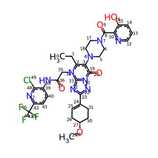 CCc1c(N2CCN(C(=O)c3ncccc3O)CC2)c(=O)n2nc(C3=CC[C@H](OC)CC3)nc2n1CC(=O)Nc1ccc(C(F)(F)F)nc1Cl